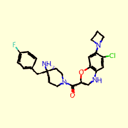 NC1(Cc2ccc(F)cc2)CCN(C(=O)C2CNc3cc(Cl)c(N4CCC4)cc3O2)CC1